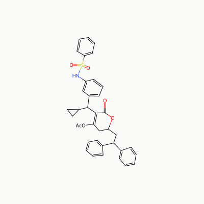 CC(=O)OC1=C(C(c2cccc(NS(=O)(=O)c3ccccc3)c2)C2CC2)C(=O)OC(CC(c2ccccc2)c2ccccc2)C1